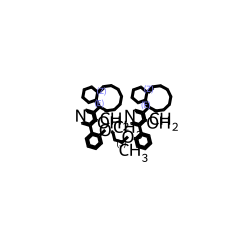 C=C1CCCCC/C=C2/CCCC/C2=C/1c1cncc(-c2ccccc2OC(C)C[C@H](C)Oc2ccccc2-c2cncc(/C3=C4\CCCC\C4=C\CCCCCC3=C)c2O)c1O